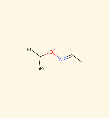 CC=NOC(CC)CCC